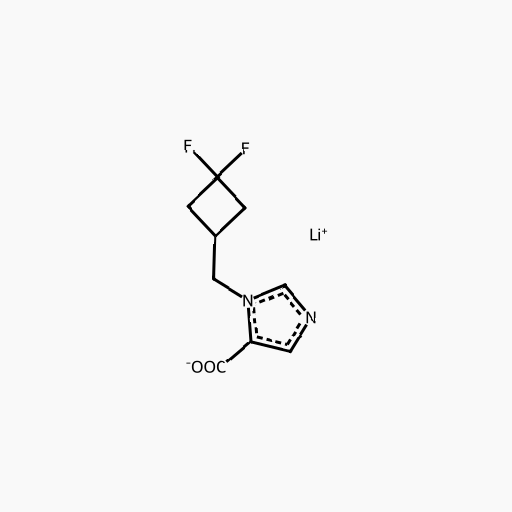 O=C([O-])c1cncn1CC1CC(F)(F)C1.[Li+]